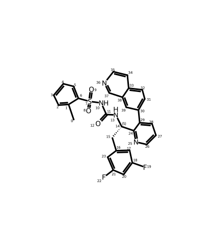 Cc1ccccc1S(=O)(=O)NC(=O)N[C@@H](Cc1cc(F)cc(F)c1)c1ncccc1-c1ccc2ccncc2c1